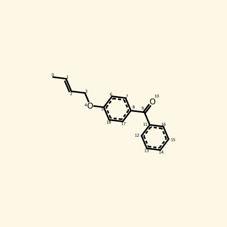 C/C=C/COc1ccc(C(=O)c2ccccc2)cc1